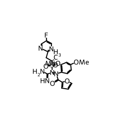 COc1ccc(N(C(=O)c2ccco2)N(C(=N)N)S(=O)(=O)[C@@H](C)Cc2ncc(F)cn2)c(OC)c1